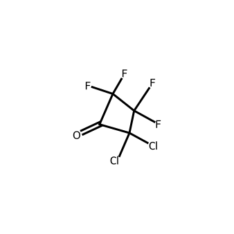 O=C1C(F)(F)C(F)(F)C1(Cl)Cl